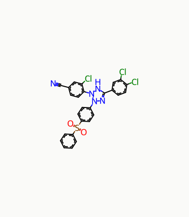 N#Cc1ccc(N2NC(c3ccc(Cl)c(Cl)c3)=NN2c2ccc(S(=O)(=O)c3ccccc3)cc2)c(Cl)c1